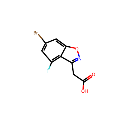 O=C(O)Cc1noc2cc(Br)cc(F)c12